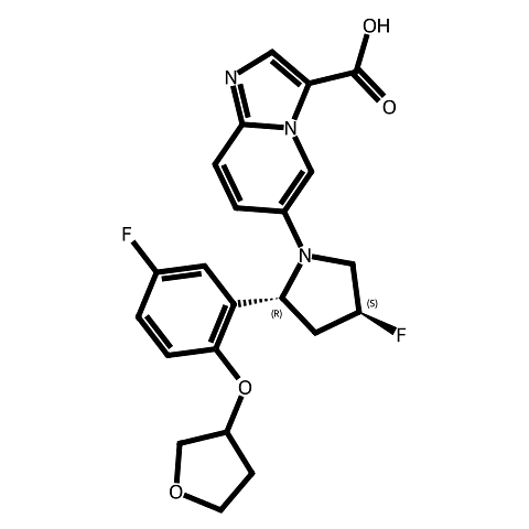 O=C(O)c1cnc2ccc(N3C[C@@H](F)C[C@@H]3c3cc(F)ccc3OC3CCOC3)cn12